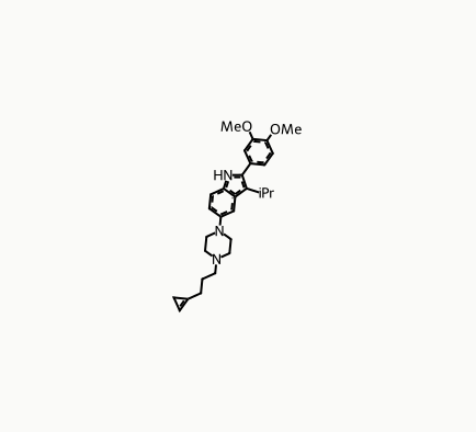 COc1ccc(-c2[nH]c3ccc(N4CCN(CCCC5=CC5)CC4)cc3c2C(C)C)cc1OC